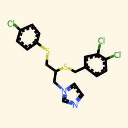 Clc1ccc(SCC(Cn2ccnc2)SCc2ccc(Cl)c(Cl)c2)cc1